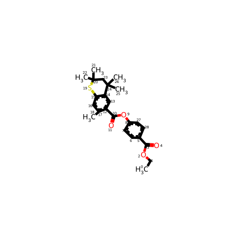 CCOC(=O)c1ccc(OC(=O)c2cc3c(cc2C)SC(C)(C)CC3(C)C)cc1